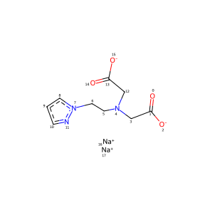 O=C([O-])CN(CCn1cccn1)CC(=O)[O-].[Na+].[Na+]